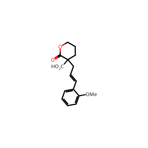 COc1ccccc1C=CCC1(C(=O)O)CCCOC1=O